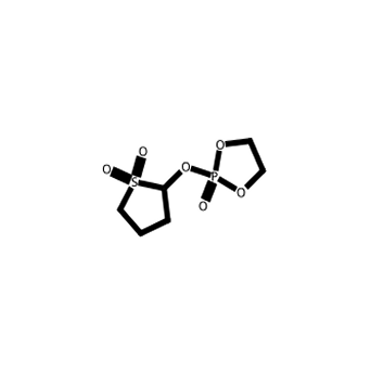 O=P1(OC2CCCS2(=O)=O)OCCO1